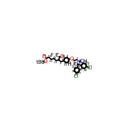 CN(CCOc1ccc(CC(CCCCC(=O)OC(C)(C)C)C(=O)C(F)(F)F)cc1)C(C)(c1ccc(Cl)cc1)c1ccc(Cl)cc1